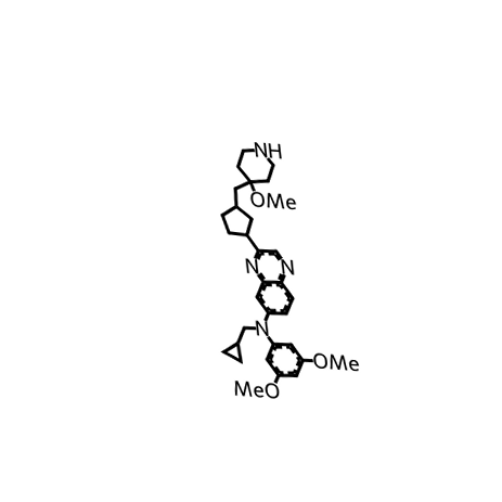 COc1cc(OC)cc(N(CC2CC2)c2ccc3ncc(C4CCC(CC5(OC)CCNCC5)C4)nc3c2)c1